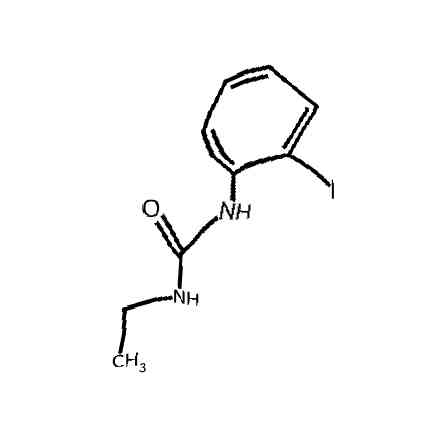 CCNC(=O)Nc1ccccc1I